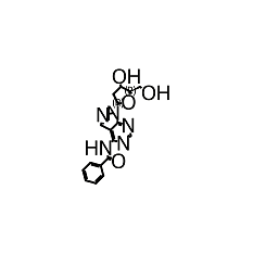 O=C(Nc1ncnc2c1cnn2[C@H]1CC(O)[C@@H](CO)O1)c1ccccc1